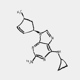 C[C@@H]1C=C[C@H](n2cnc3c(NC4CC4)nc(N)nc32)C1